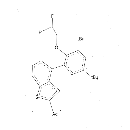 CC(=O)c1cc2c(-c3cc(C(C)(C)C)cc(C(C)(C)C)c3OCC(F)F)cccc2s1